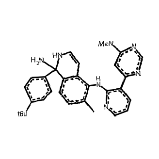 CNc1cc(-c2cccnc2Nc2c(C)ccc3c2C=CNC3(N)c2ccc(C(C)(C)C)cc2)ncn1